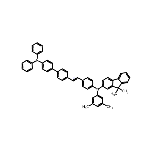 Cc1cc(C)cc(N(c2ccc(/C=C/c3ccc(-c4ccc(N(c5ccccc5)c5ccccc5)cc4)cc3)cc2)c2ccc3c(c2)C(C)(C)c2ccccc2-3)c1